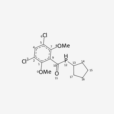 COc1c(Cl)cc(Cl)c(OC)c1C(=O)PC1CCCC1